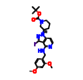 COc1ccc(CNc2nccc3c2c(I)nn3[C@@H]2CCCN(C(=O)OC(C)(C)C)C2)c(OC)c1